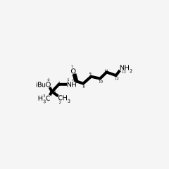 CC(C)COC(C)(C)CNC(=O)CCCCCN